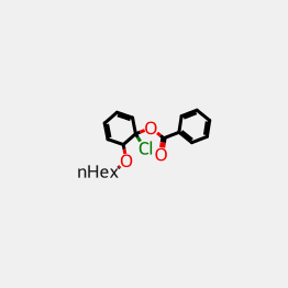 CCCCCCOC1C=CC=CC1(Cl)OC(=O)c1ccccc1